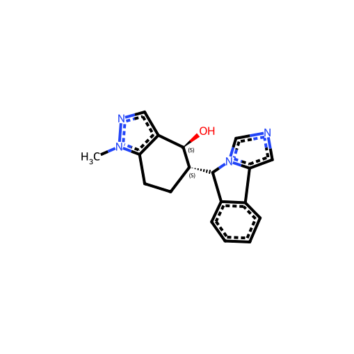 Cn1ncc2c1CC[C@@H](C1c3ccccc3-c3cncn31)[C@@H]2O